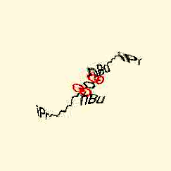 CCCCC(CCCCCCCCCCC(C)C)OC(=O)c1ccc(C(=O)OC(CCCC)CCCCCCCCCCC(C)C)cc1